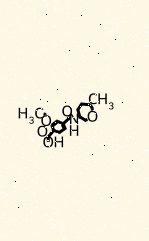 CCOC1=CC(C(=O)NC2CCC(C)COC2)=CCC1C(=O)O